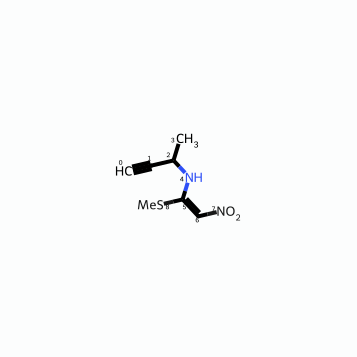 C#CC(C)NC(=C[N+](=O)[O-])SC